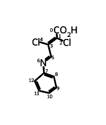 O=C(O)C(Cl)=C(Cl)C=Nc1ccccc1